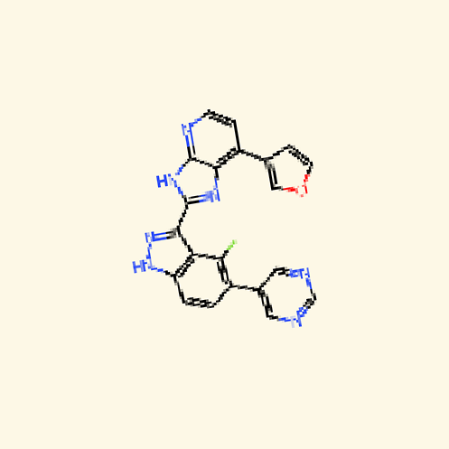 Fc1c(-c2cncnc2)ccc2[nH]nc(-c3nc4c(-c5ccoc5)ccnc4[nH]3)c12